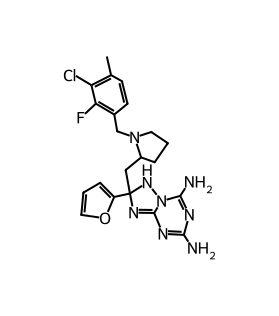 Cc1ccc(CN2CCCC2CC2(c3ccco3)N=C3N=C(N)N=C(N)N3N2)c(F)c1Cl